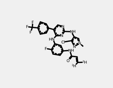 [2H]C([2H])=CC(=O)Nc1ccc(F)c(Nc2nc(Nc3cn(C)nc3Cl)ncc2-c2ccc(C(F)(F)F)cc2)c1